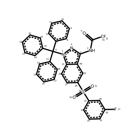 O=C(Nc1nn(C(c2ccccc2)(c2ccccc2)c2ccccc2)c2ccc(S(=O)(=O)c3cccc(F)c3)cc12)C(F)(F)F